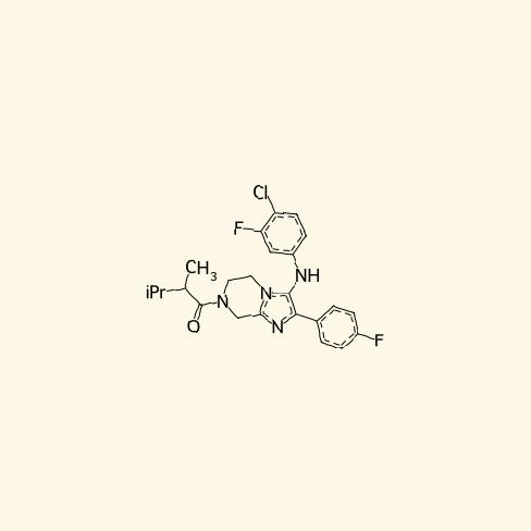 CC(C)C(C)C(=O)N1CCn2c(nc(-c3ccc(F)cc3)c2Nc2ccc(Cl)c(F)c2)C1